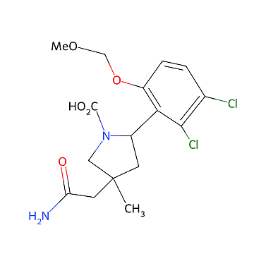 COCOc1ccc(Cl)c(Cl)c1C1CC(C)(CC(N)=O)CN1C(=O)O